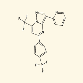 FC(F)(F)c1ccc(-c2cc(C(F)(F)F)n3ncc(-c4ccccn4)c3n2)cc1